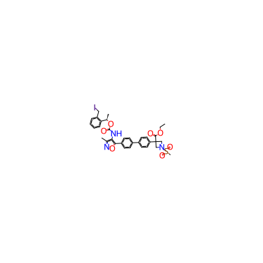 CCOC(=O)C1(c2ccc(-c3ccc(-c4onc(C)c4NC(=O)O[C@H](C)c4ccccc4CI)cc3)cc2)CN(S(C)(=O)=O)C1